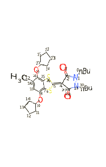 CCCCN1C(=O)C(=C2Sc3c(OC4CCCC4)cc(C)c(OC4CCCC4)c3S2)C(=O)N1CCCC